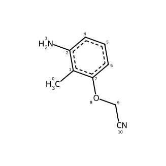 Cc1c(N)cccc1OCC#N